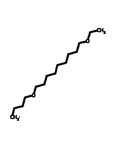 [CH2]CCCOCCCCCCCCCOCC